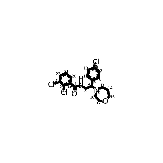 O=C(NCC(c1ccc(Cl)cc1)N1CCCOCC1)c1cccc(Cl)c1Cl